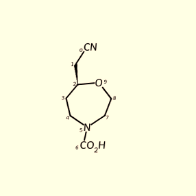 N#CC[C@@H]1CCN(C(=O)O)CCO1